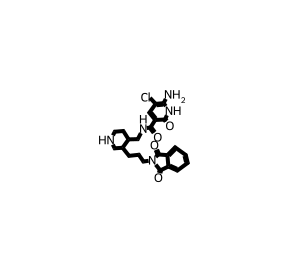 Nc1[nH]c(=O)c(C(=O)NCC2CCNCC2CCCN2C(=O)c3ccccc3C2=O)cc1Cl